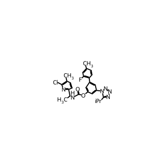 Cc1ccc(-c2cc(OC(=O)NC(C)c3ccc(C)c(Cl)n3)cc(-n3nnnc3C(C)C)c2)c(F)c1